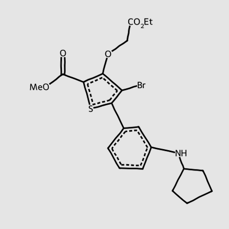 CCOC(=O)COc1c(C(=O)OC)sc(-c2cccc(NC3CCCC3)c2)c1Br